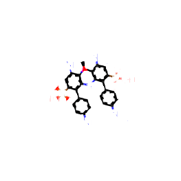 CCc1c(N)cc(S(=O)(=O)O)c(-c2ccc(N)cc2)c1Nc1c(CC)c(N)cc(S(=O)(=O)O)c1-c1ccc(N)cc1